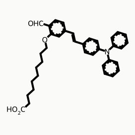 O=Cc1ccc(/C=C/c2ccc(N(c3ccccc3)c3ccccc3)cc2)cc1OCCCCCCCCCC(=O)O